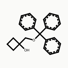 OC1(COC(c2ccccc2)(c2ccccc2)c2ccccc2)CCC1